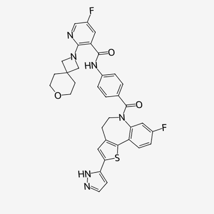 O=C(Nc1ccc(C(=O)N2CCc3cc(-c4ccn[nH]4)sc3-c3ccc(F)cc32)cc1)c1cc(F)cnc1N1CC2(CCOCC2)C1